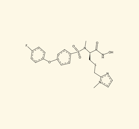 CN([C@H](CSCc1nccn1C)C(=O)NO)S(=O)(=O)c1ccc(Oc2ccc(F)cc2)cc1